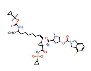 CN1C[C@H](OC(=O)N2Cc3cccc(F)c3C2)CC1C(=O)N[C@]1(C(=O)NS(=O)(=O)C2CC2)C[C@H]1/C=C\CCCCC[C@@H](C=O)NC(=O)OC(C)(C)C1CC1